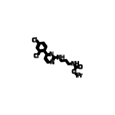 CC(C)OC(=O)NCCCNc1nccc(-c2ccc(Cl)cc2Cl)n1